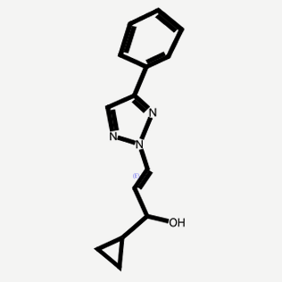 OC(/C=C/n1ncc(-c2ccccc2)n1)C1CC1